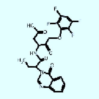 CCC(C(=O)NC(CC(=O)O)C(=O)COc1c(F)c(F)cc(F)c1F)n1cnc2ccccc2c1=O